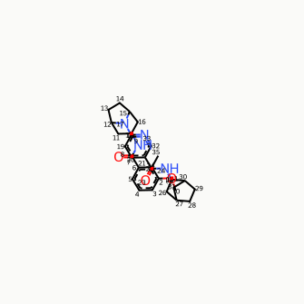 COc1cccc(C(=O)NC2CC3CCC(C2)N3c2ccc(C(=O)N[C@@H]3CC4CCC3C4)cn2)c1C